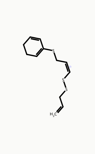 C=CCSS/C=C\CSC1=CCCC=C1